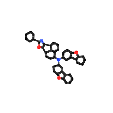 c1ccc(-c2nc3c(o2)-c2ccc(N(c4ccc5oc6ccccc6c5c4)c4ccc5oc6ccccc6c5c4)c4cccc-3c24)cc1